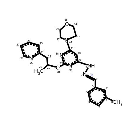 Cc1cccc(/C=N/Nc2cc(N3CCOCC3)nc(OC(C)Cc3ccccn3)n2)c1